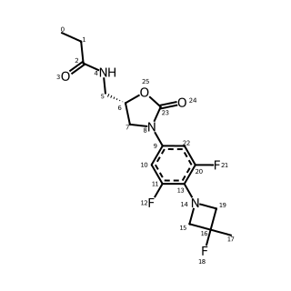 CCC(=O)NC[C@H]1CN(c2cc(F)c(N3CC(C)(F)C3)c(F)c2)C(=O)O1